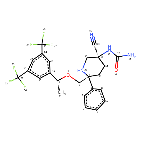 C[C@@H](OC[C@@]1(c2ccccc2)CC[C@](C#N)(NC(N)=O)CN1)c1cc(C(F)(F)F)cc(C(F)(F)F)c1